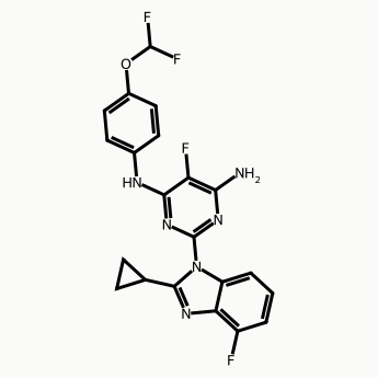 Nc1nc(-n2c(C3CC3)nc3c(F)cccc32)nc(Nc2ccc(OC(F)F)cc2)c1F